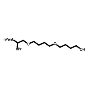 CCCCCC(CCC)COCCCCOCCCCO